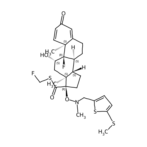 CSc1ccc(CN(C)O[C@]2(C(=O)SCF)CC[C@H]3[C@@H]4CCC5=CC(=O)C=C[C@]5(C)[C@@]4(F)[C@@H](O)C[C@@]32C)s1